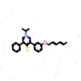 CC=CC=CCOc1cccc(-c2cn(C(C)C)cc(-c3ccccc3)c2=S)c1